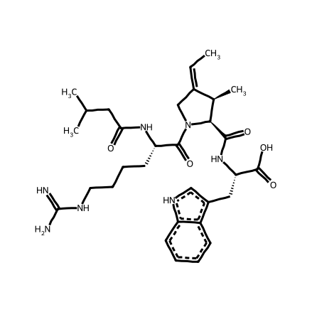 C/C=C1/CN(C(=O)[C@H](CCCCNC(=N)N)NC(=O)CC(C)C)[C@H](C(=O)N[C@@H](Cc2c[nH]c3ccccc23)C(=O)O)[C@@H]1C